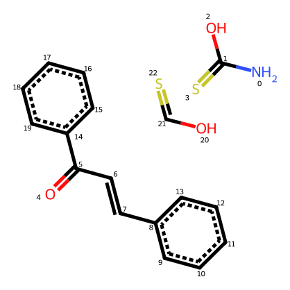 NC(O)=S.O=C(C=Cc1ccccc1)c1ccccc1.OC=S